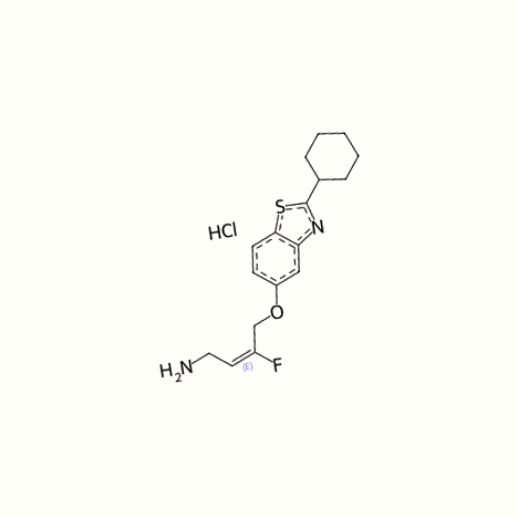 Cl.NC/C=C(/F)COc1ccc2sc(C3CCCCC3)nc2c1